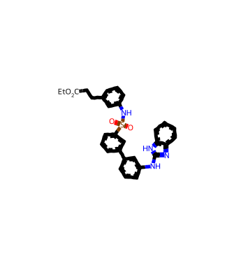 CCOC(=O)CCc1cccc(NS(=O)(=O)c2cccc(-c3cccc(Nc4nc5ccccc5[nH]4)c3)c2)c1